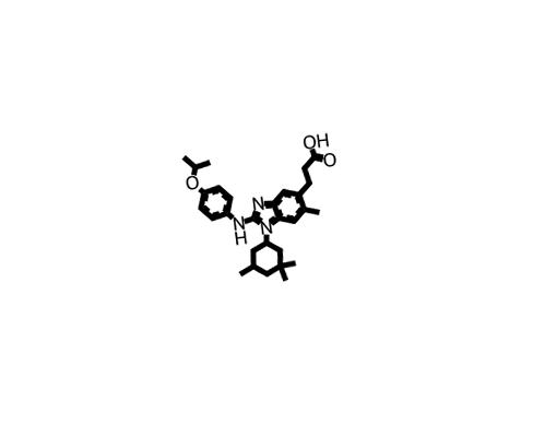 Cc1cc2c(cc1CCC(=O)O)nc(Nc1ccc(OC(C)C)cc1)n2C1CC(C)CC(C)(C)C1